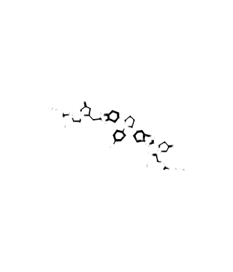 C=C1CC(Cc2nc3cc([C@H]4CC[C@H](c5ccc6[nH]c([C@@H]7CC(=C)CN7C(=O)[C@@H](NC(=O)OC)C(C)C)nc6c5)N4c4ccc(C(C)(C)C)cc4)ccc3[nH]2)N(C(=O)[C@@H](NC(=O)OC)C(C)C)C1